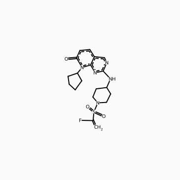 C=C(F)S(=O)(=O)N1CCC(Nc2ncc3ccc(=O)n(C4CCCC4)c3n2)CC1